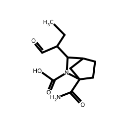 CCC(C=O)C1C2CCC(C(N)=O)(C2)N1C(=O)O